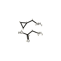 NCC(=O)O.NCC1CC1